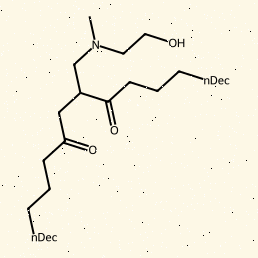 CCCCCCCCCCCCCC(=O)CC(CN(C)CCO)C(=O)CCCCCCCCCCCCC